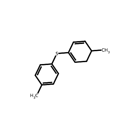 Cc1ccc(SC2=CCC(C)C=C2)cc1